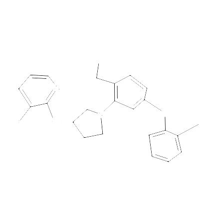 OCc1ccc(Oc2ccccc2Cl)cc1N1CC[C@H](Oc2ncccc2Cl)C1